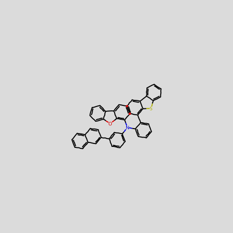 c1cc(-c2ccc3ccccc3c2)cc(N(c2ccccc2-c2cccc3c2sc2ccccc23)c2cccc3c2oc2ccccc23)c1